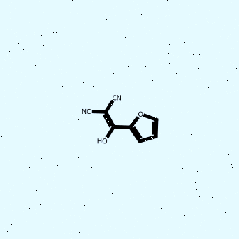 N#CC(C#N)=C(O)c1ccco1